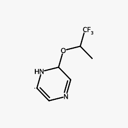 CC(OC1C=NC=[C]N1)C(F)(F)F